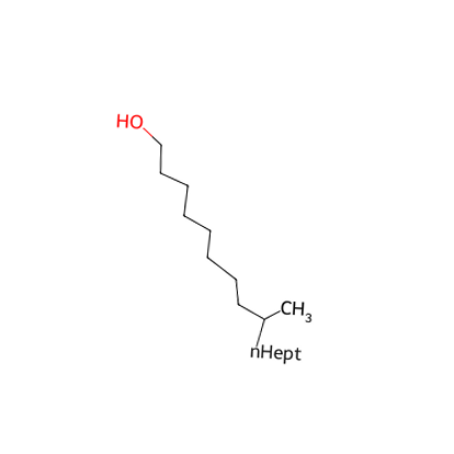 CCCCCCCC(C)CCCCCCCCO